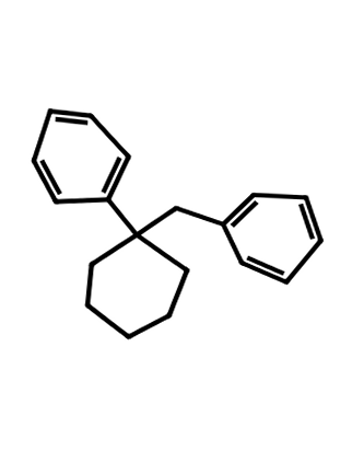 c1ccc(CC2(c3ccccc3)CCCCC2)cc1